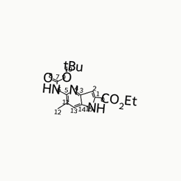 CCOC(=O)c1cc2nc(NC(=O)OC(C)(C)C)c(C)cc2[nH]1